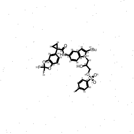 Cc1ccc(S(=O)(=O)OCC(O)Cn2c(C(C)(C)C)cc3cc(NC(=O)C4(c5ccc6c(c5)OC(F)(F)O6)CC4)ccc32)cc1